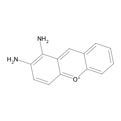 Nc1ccc2[o+]c3ccccc3cc2c1N